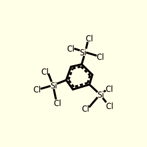 Cl[Si](Cl)(Cl)c1cc([Si](Cl)(Cl)Cl)cc([Si](Cl)(Cl)Cl)c1